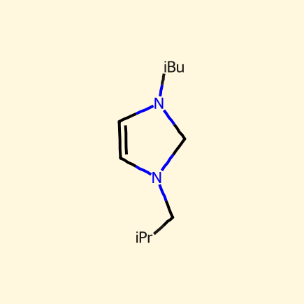 CCC(C)N1C=CN(CC(C)C)C1